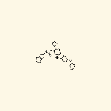 CN(C(=O)CN(CC(=O)Nc1ccc(Oc2ccccc2)cc1)C(=O)c1ccco1)C1Cc2ccccc2C1